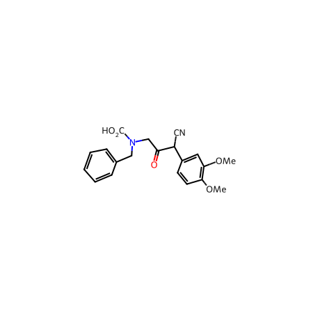 COc1ccc(C(C#N)C(=O)CN(Cc2ccccc2)C(=O)O)cc1OC